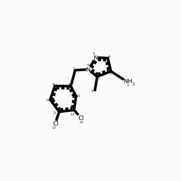 Cc1c(N)cnn1Cc1ccc(Cl)c(Cl)c1